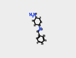 NC1CCC(N=Cc2ccccc2)CC1